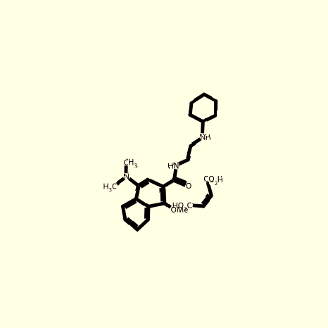 COc1c(C(=O)NCCNC2CCCCC2)cc(N(C)C)c2ccccc12.O=C(O)/C=C\C(=O)O